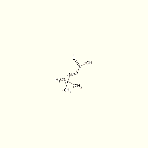 CC(C)(C)/N=C/C(=O)O